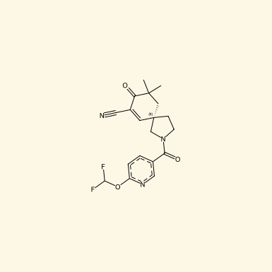 CC1(C)C[C@]2(C=C(C#N)C1=O)CCN(C(=O)c1ccc(OC(F)F)nc1)C2